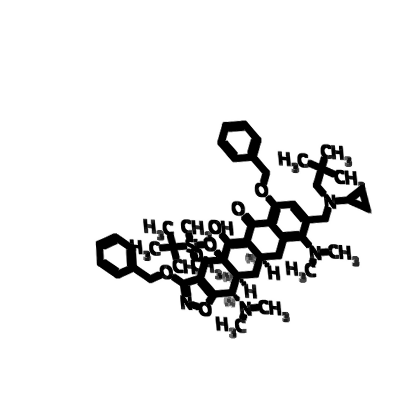 CN(C)c1c(CN(CC(C)(C)C)C2CC2)cc(OCc2ccccc2)c2c1C[C@H]1C[C@H]3[C@H](N(C)C)c4onc(OCc5ccccc5)c4C(=O)C3(O[Si](C)(C)C(C)(C)C)C(O)=C1C2=O